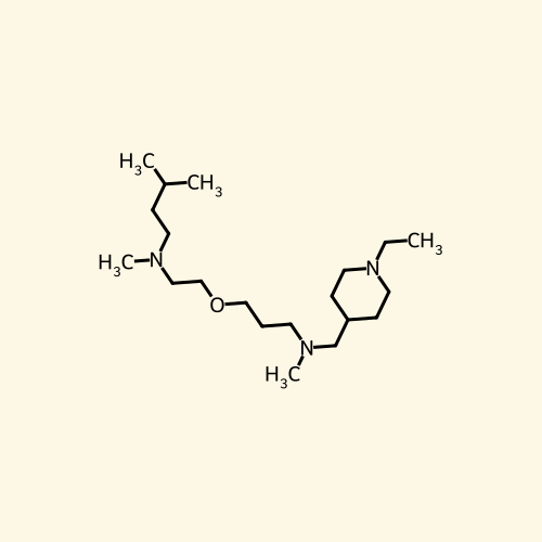 CCN1CCC(CN(C)CCCOCCN(C)CCC(C)C)CC1